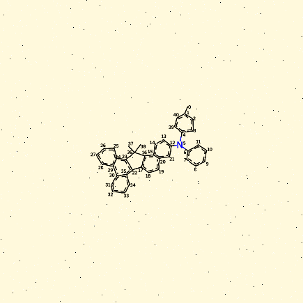 Cc1ccc(N(c2ccccc2)c2ccc3c4c(ccc3c2)-c2c(c3ccccc3c3ccccc23)C4(C)C)cc1